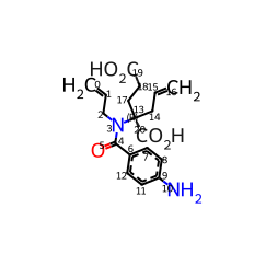 C=CCN(C(=O)c1ccc(N)cc1)[C@@](CC=C)(CCC(=O)O)C(=O)O